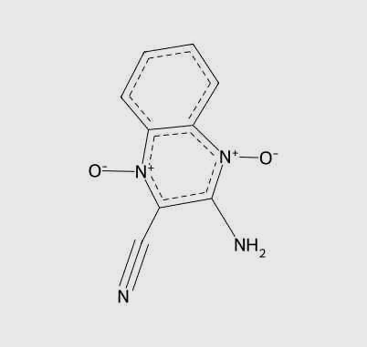 N#Cc1c(N)[n+]([O-])c2ccccc2[n+]1[O-]